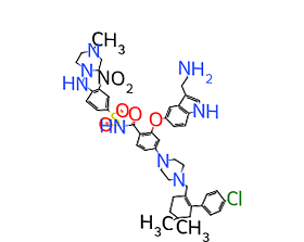 CN1CCN(Nc2ccc(S(=O)(=O)NC(=O)c3ccc(N4CCN(CC5=C(c6ccc(Cl)cc6)CC(C)(C)CC5)CC4)cc3Oc3ccc4[nH]cc(CCN)c4c3)cc2[N+](=O)[O-])CC1